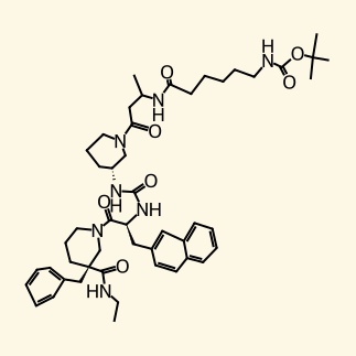 CCNC(=O)[C@]1(Cc2ccccc2)CCCN(C(=O)[C@H](Cc2ccc3ccccc3c2)NC(=O)N[C@@H]2CCCN(C(=O)CC(C)NC(=O)CCCCCNC(=O)OC(C)(C)C)C2)C1